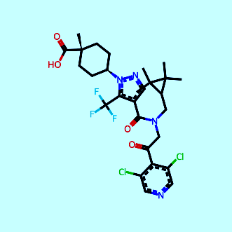 CC1(C)C(CN(CC(=O)c2c(Cl)cncc2Cl)C(=O)c2cnn([C@H]3CC[C@](C)(C(=O)O)CC3)c2C(F)(F)F)C1(C)C